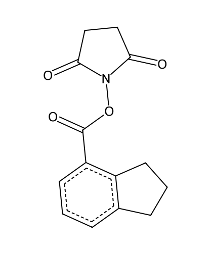 O=C(ON1C(=O)CCC1=O)c1cccc2c1CCC2